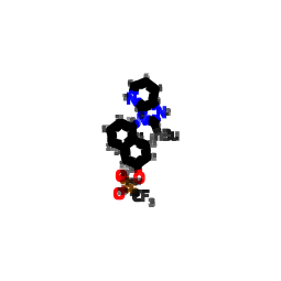 CCCCc1nc2cccnc2n1-c1cccc2cc(OS(=O)(=O)C(F)(F)F)ccc12